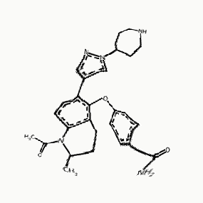 CC(=O)N1c2ccc(-c3cnn(C4CCNCC4)c3)c(Oc3ccc(C(N)=O)cc3)c2CCC1C